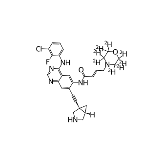 [2H]C1([2H])OC([2H])([2H])C([2H])([2H])N(C/C=C/C(=O)Nc2cc3c(Nc4cccc(Cl)c4F)ncnc3cc2C#C[C@]23CNC[C@H]2C3)C1([2H])[2H]